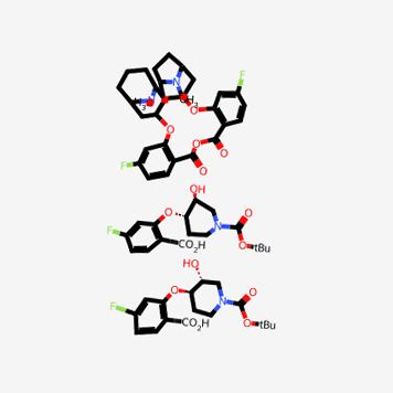 CC(C)(C)OC(=O)N1CC[C@@H](Oc2cc(F)ccc2C(=O)O)[C@H](O)C1.CC(C)(C)OC(=O)N1CC[C@H](Oc2cc(F)ccc2C(=O)O)[C@@H](O)C1.CN1C2CCCC1CC(Oc1cc(F)ccc1C(=O)OC(=O)c1ccc(F)cc1OC1CC3CCC(C1)N3C)C2